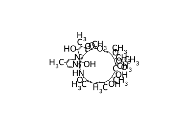 CO[C@H]1/C=C/O[C@@]2(C)Oc3c(C)c(O)c4c(O)c(c5c(nc6cc(C)ccn65)c4c3C2=O)NC(=O)/C(C)=C\C=C\[C@H](C)[C@H](O)[C@@H](C)[C@@H](O)C[C@@](C)(OC(C)=O)[C@@H]1C